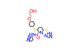 Cn1ccc(NC(=O)c2nc(Sc3nncn3C)ccc2Sc2ccc(OCCO)cc2)n1